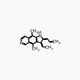 C=C/C=c1/[nH]c2c(C)c3ccncc3c(C)c2/c1=C/C